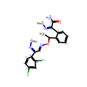 CON=C(C=NOC(C)c1ccccc1C(=NOC)C(N)=O)c1ccc(F)cc1F